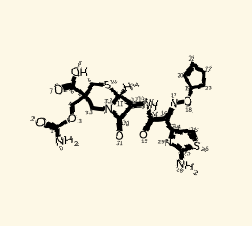 NC(=O)OCC1(C(=O)O)CS[C@@H]2C(NC(=O)C(=NOC3C=CCC3)c3csc(N)n3)C(=O)N2C1